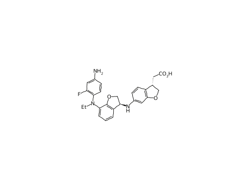 CCN(c1ccc(N)cc1F)c1cccc2c1OC[C@H]2Nc1ccc2c(c1)OC[C@H]2CC(=O)O